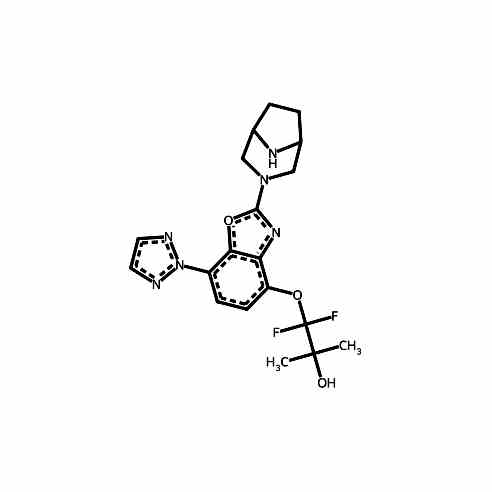 CC(C)(O)C(F)(F)Oc1ccc(-n2nccn2)c2oc(N3CC4CCC(C3)N4)nc12